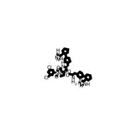 N[C@@H](Cc1ccc(-c2ccccc2-c2nnn[nH]2)cc1)C(=O)OC(=O)[C@H](Cc1ccc(-c2ccccc2-c2nnn[nH]2)cc1)NC(=O)c1cccn1S(=O)(=O)c1cc(Cl)cc(Cl)c1